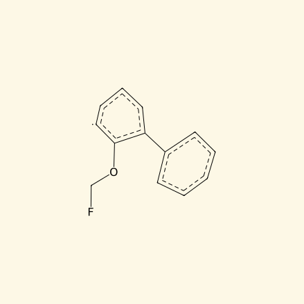 FCOc1[c]cccc1-c1ccccc1